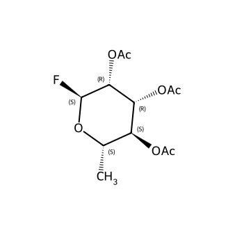 CC(=O)O[C@@H]1[C@@H](OC(C)=O)[C@H](C)O[C@@H](F)[C@@H]1OC(C)=O